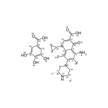 C[C@@H]1CN(c2c(F)c(N)c3c(=O)c(C(=O)O)cn(C4CC4)c3c2F)C[C@H](C)N1.O=C(O)c1cc(O)c(O)c(O)c1